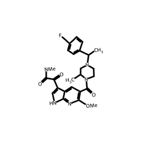 CNC(=O)C(=O)c1c[nH]c2nc(OC)c(C(=O)N3CCN(C(C)c4ccc(F)cc4)CC3C)cc12